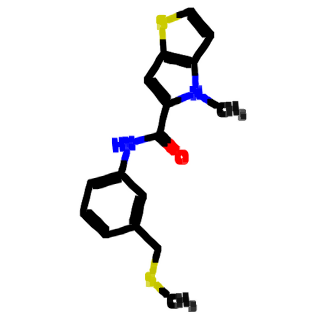 CSCc1cccc(NC(=O)c2cc3sccc3n2C)c1